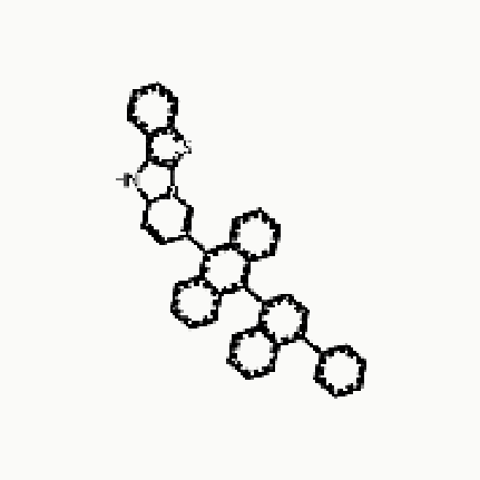 C1=CC2Nc3c(sc4ccccc34)N2C=C1c1c2ccccc2c(-c2ccc(-c3ccccc3)c3ccccc23)c2ccccc12